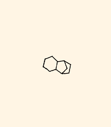 C1CCC2C3CC[C](C3)C2C1